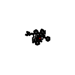 CCN(CC)CCCc1cccc(-c2c(NC(=O)Nc3c(C(C)C)cccc3C(C)C)c(=O)n(CCc3ccccc3)c3ncccc23)c1